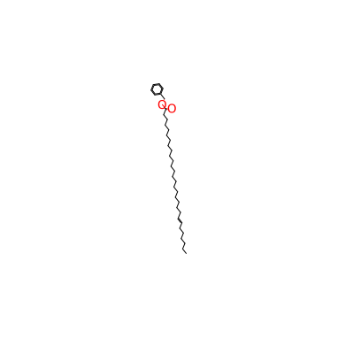 CCCCCCC=CCCCCCCCCCCCCCCCCCCCCC(=O)OCc1ccccc1